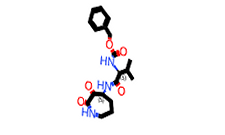 CC(C)[C@H](NC(=O)OCc1ccccc1)C(=O)N[C@H]1CCCNC(=O)C1=O